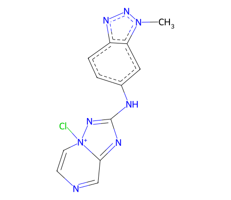 Cn1nnc2ccc(NC3=N[N+]4(Cl)C=CN=CC4=N3)cc21